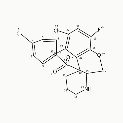 O=S(=O)(c1ccc(Cl)cc1)C12CCCNC1COc1c(F)cc(Cl)c(F)c12